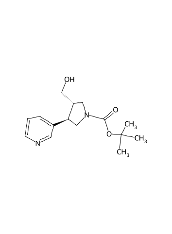 CC(C)(C)OC(=O)N1C[C@@H](CO)[C@H](c2cccnc2)C1